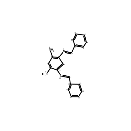 Nc1cc(N)c(/N=C/c2ccccc2)cc1/N=C/c1ccccc1